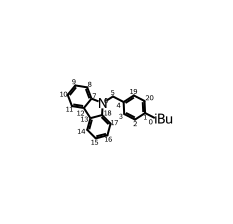 CCC(C)c1ccc(Cn2c3ccccc3c3ccccc32)cc1